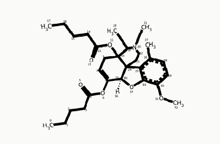 CCCCC(=O)OC1=CCC2(OC(=O)CCCC)C(C)N(C)CCC23c2c(C)ccc(OC)c2O[C@@H]13